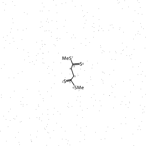 CSC(=S)CCC(=S)SC